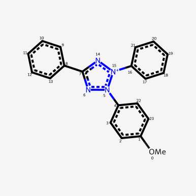 COc1ccc(-n2nc(-c3ccccc3)n[n+]2-c2ccccc2)cc1